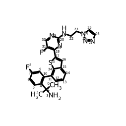 CC(C)(N)c1ccc(F)cc1-c1cccc2cc(-c3nc(NCCn4ccnn4)ncc3F)sc12